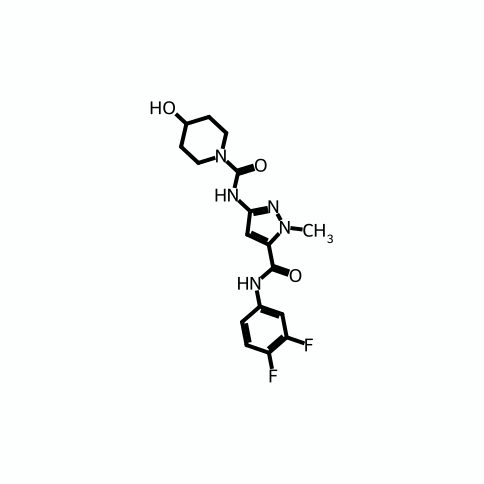 Cn1nc(NC(=O)N2CCC(O)CC2)cc1C(=O)Nc1ccc(F)c(F)c1